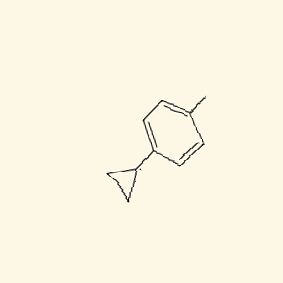 Cc1ccc([C]2CC2)cc1